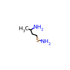 CC(N)CCSN